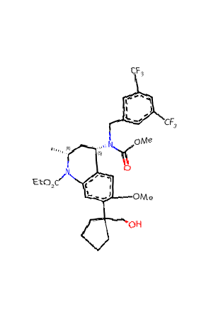 CCOC(=O)N1c2cc(C3(CO)CCCC3)c(OC)cc2[C@@H](N(Cc2cc(C(F)(F)F)cc(C(F)(F)F)c2)C(=O)OC)C[C@H]1C